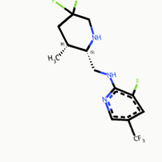 C[C@@H]1CC(F)(F)CN[C@@H]1CNc1ncc(C(F)(F)F)cc1F